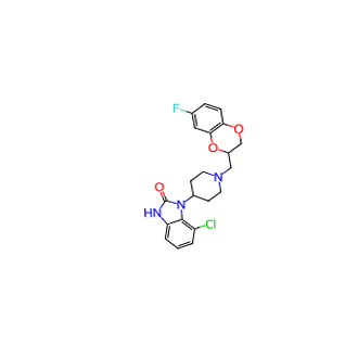 O=c1[nH]c2cccc(Cl)c2n1C1CCN(CC2COc3ccc(F)cc3O2)CC1